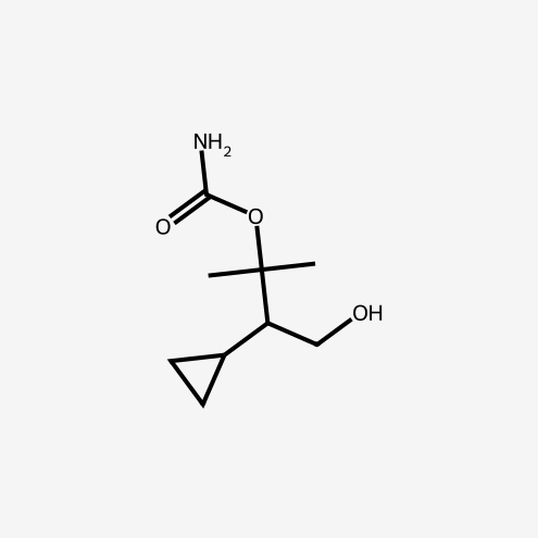 CC(C)(OC(N)=O)C(CO)C1CC1